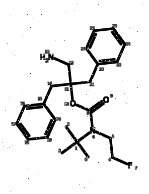 CC(C)(C)N(CCF)C(=O)OC(CN)(Cc1ccccc1)Cc1ccccc1